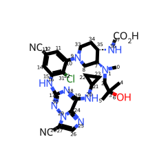 CN(CC(C)(C)O)[C@H]1CN(c2cc(C#N)cc(Nc3nc(NC4CC4)c4ncc(C#N)n4n3)c2Cl)CC[C@@H]1NC(=O)O